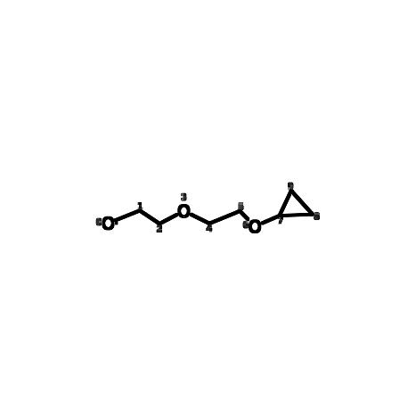 [O]CCOCCOC1CC1